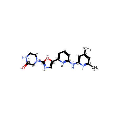 Cc1cc(C)nc(Nc2cccc(-c3cnc(N4CCNC(=O)C4)o3)n2)c1